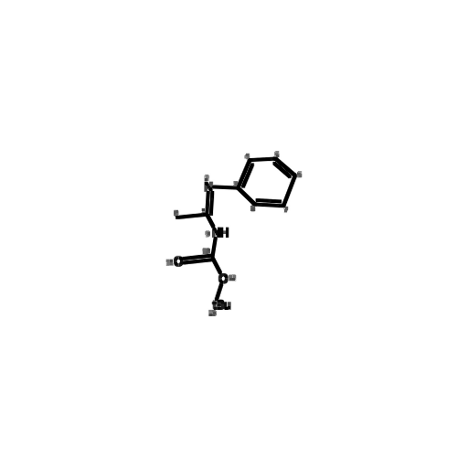 C/C(=N/c1ccccc1)NC(=O)OC(C)(C)C